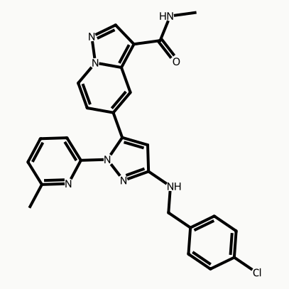 CNC(=O)c1cnn2ccc(-c3cc(NCc4ccc(Cl)cc4)nn3-c3cccc(C)n3)cc12